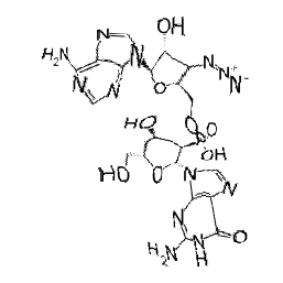 [N-]=[N+]=NC1[C@@H](O)[C@H](n2cnc3c(N)ncnc32)O[C@@H]1COP(=O)(O)[C@@H]1[C@H](O)[C@@H](CO)O[C@H]1n1cnc2c(=O)[nH]c(N)nc21